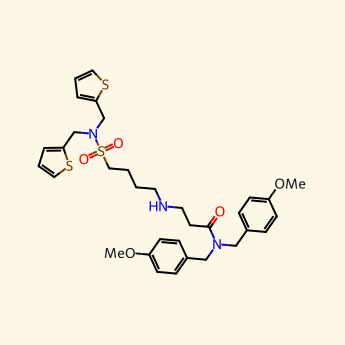 COc1ccc(CN(Cc2ccc(OC)cc2)C(=O)CCNCCCCS(=O)(=O)N(Cc2cccs2)Cc2cccs2)cc1